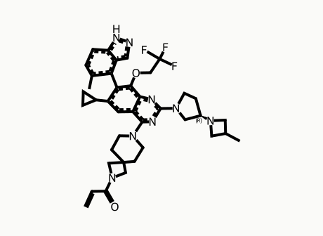 C=CC(=O)N1CC2(CCN(c3nc(N4CC[C@@H](N5CC(C)C5)C4)nc4c(OCC(F)(F)F)c(-c5c(C)ccc6[nH]ncc56)c(C5CC5)cc34)CC2)C1